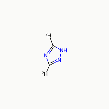 [2H]c1n[nH]c([2H])n1